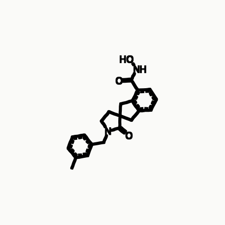 Cc1cccc(CN2CCC3(Cc4cccc(C(=O)NO)c4C3)C2=O)c1